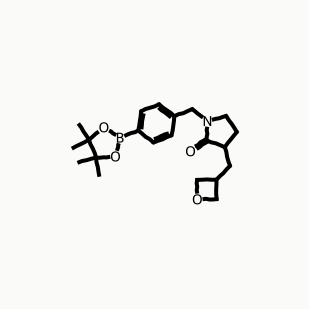 CC1(C)OB(c2ccc(CN3CCC(CC4COC4)C3=O)cc2)OC1(C)C